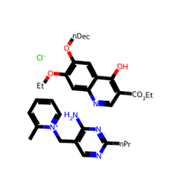 CCCCCCCCCCOc1cc2c(O)c(C(=O)OCC)cnc2cc1OCC.CCCc1ncc(C[n+]2ccccc2C)c(N)n1.[Cl-]